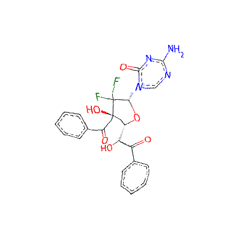 Nc1ncn([C@@H]2O[C@H](C(O)C(=O)c3ccccc3)[C@](O)(C(=O)c3ccccc3)C2(F)F)c(=O)n1